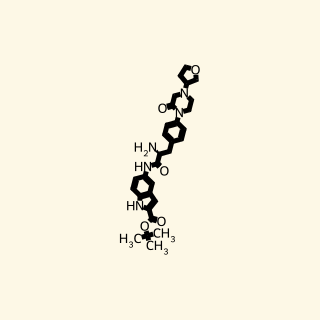 CC(C)(C)OC(=O)c1cc2cc(NC(=O)[C@@H](N)Cc3ccc(N4CCN(C5CCOC5)CC4=O)cc3)ccc2[nH]1